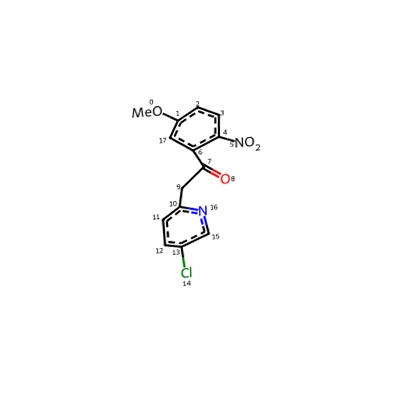 COc1ccc([N+](=O)[O-])c(C(=O)Cc2ccc(Cl)cn2)c1